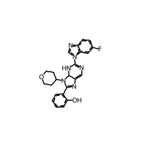 Oc1ccccc1C1=NC2=CN=C(n3cnc4ccc(F)cc43)NC2N1C1CCOCC1